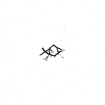 CC1(C)[C@@H]2CC3O[C@@]3(C)C[C@@H]21